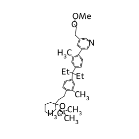 CCC(CC)(c1ccc(CCC2(O[Si](C)(C)C)CCCCC2)c(C)c1)c1ccc(-c2cncc(CCOOC)c2)c(C)c1